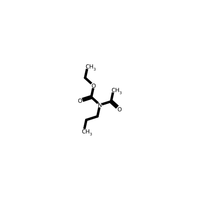 CCCN(C(C)=O)C(=O)OCC